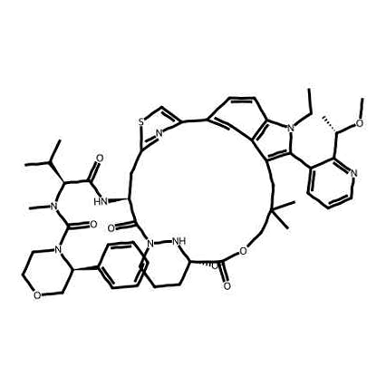 CCn1c(-c2cccnc2[C@H](C)OC)c2c3cc(ccc31)-c1csc(n1)C[C@H](NC(=O)[C@H](C(C)C)N(C)C(=O)N1CCOC[C@@H]1c1ccccc1)C(=O)N1CCC[C@@](O)(N1)C(=O)OCC(C)(C)C2